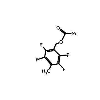 [CH2]c1c(F)c(F)c(COC(=O)C(C)C)c(F)c1F